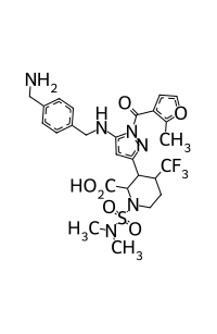 Cc1occc1C(=O)n1nc(C2C(C(=O)O)N(S(=O)(=O)N(C)C)CCC2C(F)(F)F)cc1NCc1ccc(CN)cc1